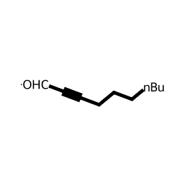 CCCCCCCC#C[C]=O